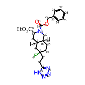 CCOC(=O)[C@@H]1C[C@H]2CC(F)(CCc3nnn[nH]3)CC[C@H]2CN1C(=O)OCc1ccccc1